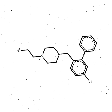 [O]CCN1CCN(Cc2ccc(Cl)cc2-c2ccccc2)CC1